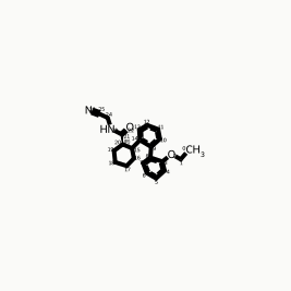 CCOc1ccccc1-c1ccccc1C1CCCC[C@H]1C(=O)NCC#N